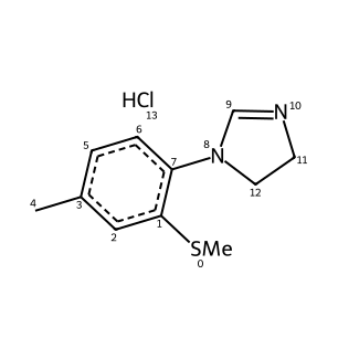 CSc1cc(C)ccc1N1C=NCC1.Cl